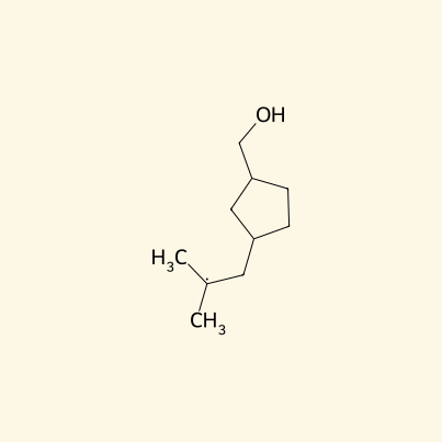 C[C](C)CC1CCC(CO)C1